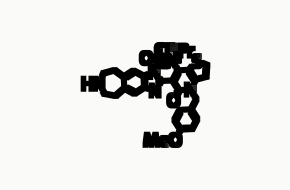 COc1ccc(Cn2c(=O)c(-c3nc4cc5c(cc4n3S(=O)(=O)C(F)(F)F)CCNCC5)c(NC(C)C)c3sccc32)cc1